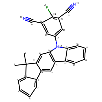 CC1(C)c2ccccc2-c2cc3c4ccccc4n(-c4cc(C#N)c(F)c(C#N)c4)c3cc21